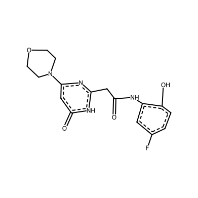 O=C(Cc1nc(N2CCOCC2)cc(=O)[nH]1)Nc1cc(F)ccc1O